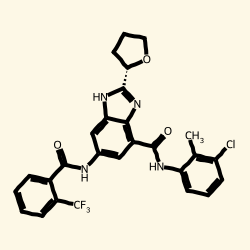 Cc1c(Cl)cccc1NC(=O)c1cc(NC(=O)c2ccccc2C(F)(F)F)cc2[nH]c([C@@H]3CCCO3)nc12